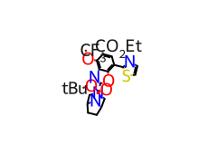 CCOC(=O)c1cc(-c2nccs2)c2oc(N3CC4CCC(C3)N4C(=O)OC(C)(C)C)nc2c1OC(F)(F)F